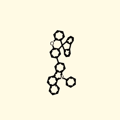 c1ccc(-n2c3ccc(-c4ccc5c(c4)C4(c6ccccc6O5)c5ccccc5-c5ccccc54)cc3c3ccc4ccccc4c32)cc1